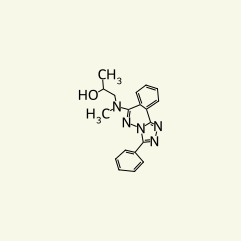 CC(O)CN(C)c1nn2c(-c3ccccc3)nnc2c2ccccc12